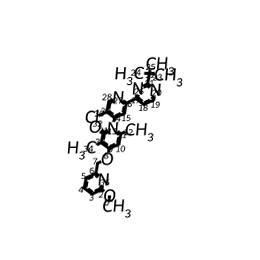 COc1cccc(COc2cc(C)n(-c3cc(-c4ccnc(C(C)(C)C)n4)ncc3Cl)c(=O)c2C)n1